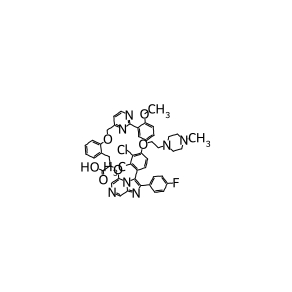 COc1ccccc1-c1nccc(COc2ccccc2CC(Oc2cncc3nc(-c4ccc(F)cc4)c(-c4ccc(OCCN5CCN(C)CC5)c(Cl)c4C)n23)C(=O)O)n1